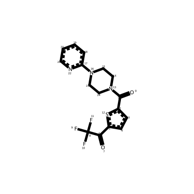 O=C(c1ccc(C(=O)C(F)(F)F)s1)N1CCN(c2ccccn2)CC1